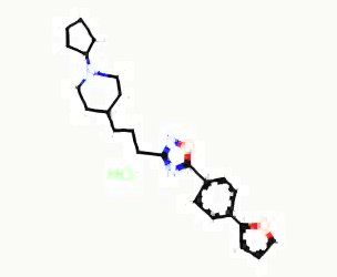 Cl.c1coc(-c2ccc(-c3nc(CCCC4CCN(C5CCCC5)CC4)no3)cc2)c1